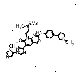 CSN(C)CCn1c(=O)c(-c2ncn(-c3cncn3C)c2C)cc2cnc(Nc3ccc(C4CCN(C)C4)cc3)nc21